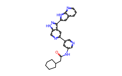 O=C(CC1CCCCC1)Nc1cncc(-c2cc3c(-c4cc5cccnc5[nH]4)n[nH]c3cn2)c1